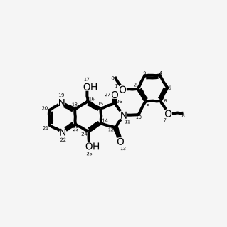 COc1cccc(OC)c1CN1C(=O)c2c(c(O)c3nccnc3c2O)C1=O